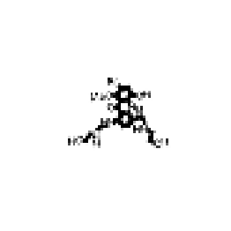 COc1c(Br)cc(O)c2c1c(=O)c1c(NCCNCCO)ccc3c(CNCCO)nn2c31